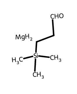 C[Si](C)(C)CCC=O.[MgH2]